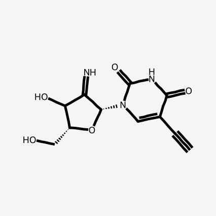 C#Cc1cn([C@@H]2O[C@H](CO)C(O)C2=N)c(=O)[nH]c1=O